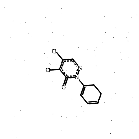 O=c1c(Cl)c(Cl)cnn1C1=CC=CCC1